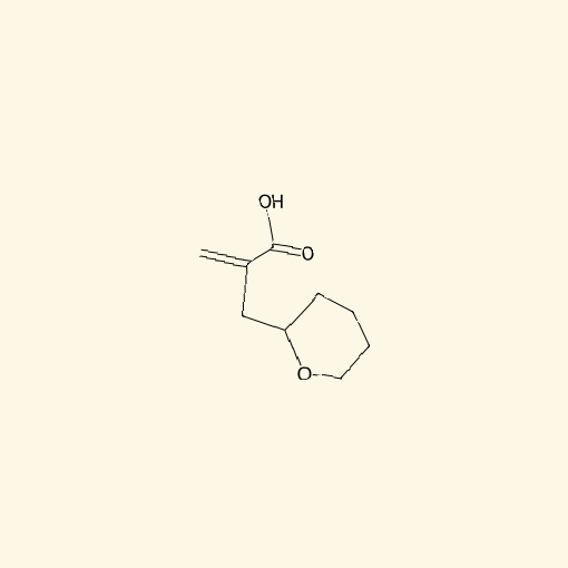 C=C(CC1CCCCO1)C(=O)O